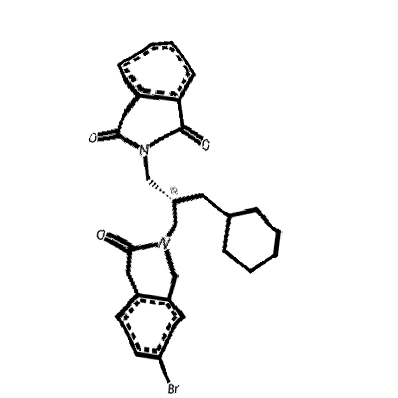 O=C1c2ccccc2C(=O)N1C[C@H](CC1CCCCC1)N1Cc2cc(Br)ccc2C1=O